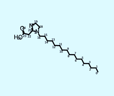 CCCCCCCCCCCCCCCCCN1CCN=C1CC(=O)O